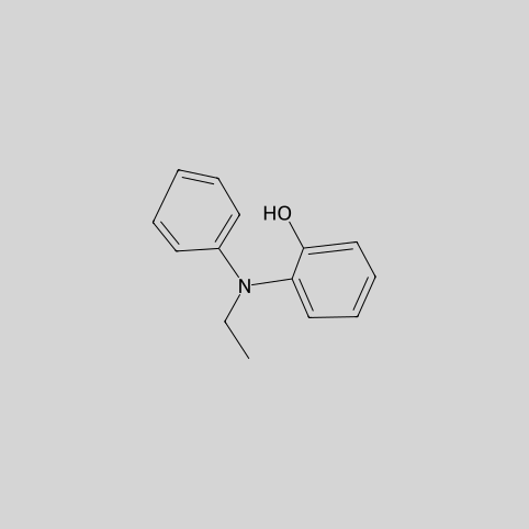 CCN(c1ccccc1)c1ccccc1O